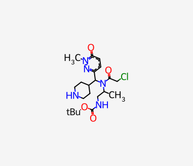 CC(CNC(=O)OC(C)(C)C)N(C(=O)CCl)C(c1ccc(=O)n(C)n1)C1CCNCC1